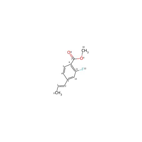 CC=Cc1ccc(C(=O)OC)c(F)c1